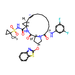 CC1(S(=O)(=O)NC(=O)[C@@]23C[C@H]2/C=C\CCCCC[C@H](Nc2cc(F)cc(F)c2)C(=O)N2C[C@H](Oc4nc5ccccc5s4)C[C@H]2C(=O)N3)CC1